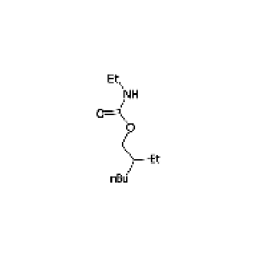 CCCCC(CC)COC(=O)NCC